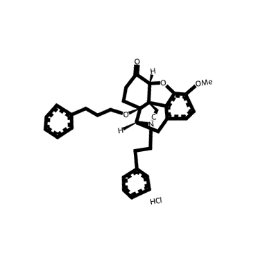 COc1ccc2c3c1O[C@H]1C(=O)CC[C@@]4(OCCCc5ccccc5)[C@@H](C2)N(CCc2ccccc2)CC[C@]314.Cl